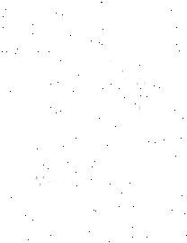 COc1ccc2cc(C(CS(C)(=O)=O)C(F)(F)F)ccc2c1